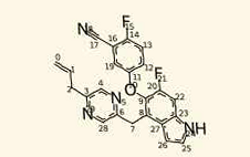 C=CCc1cnc(Cc2c(Oc3ccc(F)c(C#N)c3)c(F)cc3[nH]ccc23)cn1